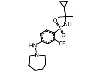 CC(C)(NS(=O)(=O)c1ccc(NN2CCCCCC2)cc1C(F)(F)F)C1CC1